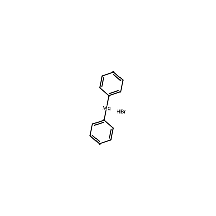 Br.c1cc[c]([Mg][c]2ccccc2)cc1